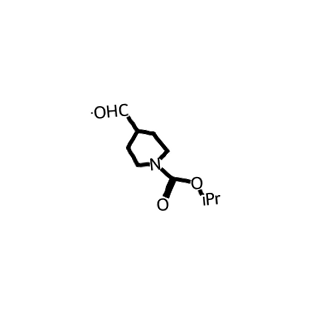 CC(C)OC(=O)N1CCC([C]=O)CC1